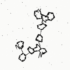 c1ccc(-c2ccccc2-c2ccc3c(c2)c2ncccc2n3-c2ccc(-c3ccc(-n4c5ccccc5c5ncccc54)cc3)cc2)nc1